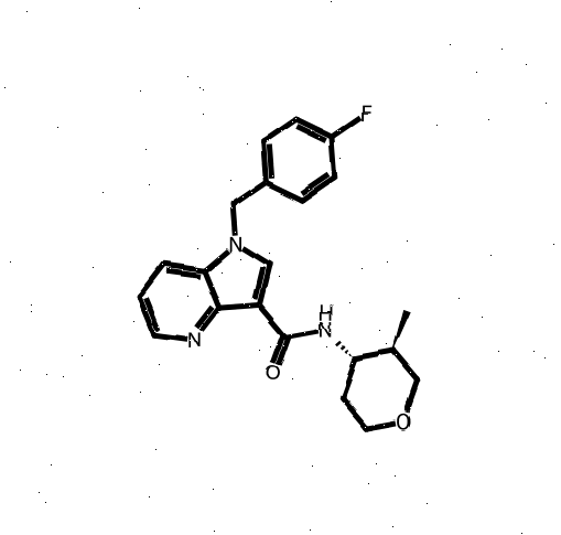 C[C@H]1COCC[C@@H]1NC(=O)c1cn(Cc2ccc(F)cc2)c2cccnc12